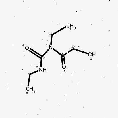 CCNC(=O)N(CC)C(=O)CO